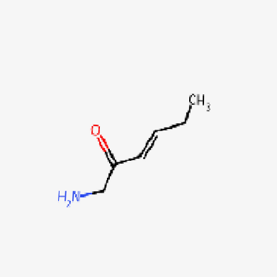 CCC=CC(=O)CN